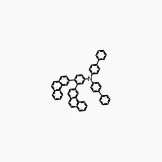 c1ccc(-c2ccc(N(c3ccc(-c4ccccc4)cc3)c3ccc(-c4ccc5ccc6ccccc6c5c4)c(-c4ccc5ccc6ccccc6c5c4)c3)cc2)cc1